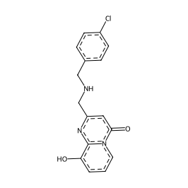 O=c1cc(CNCc2ccc(Cl)cc2)nc2c(O)cccn12